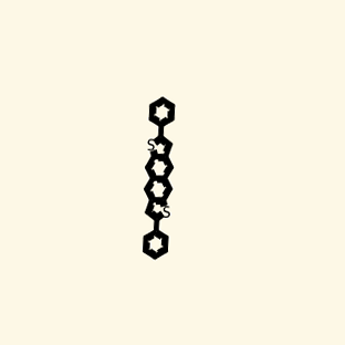 c1ccc(-c2cc3cc4cc5sc(-c6ccccc6)cc5cc4cc3s2)cc1